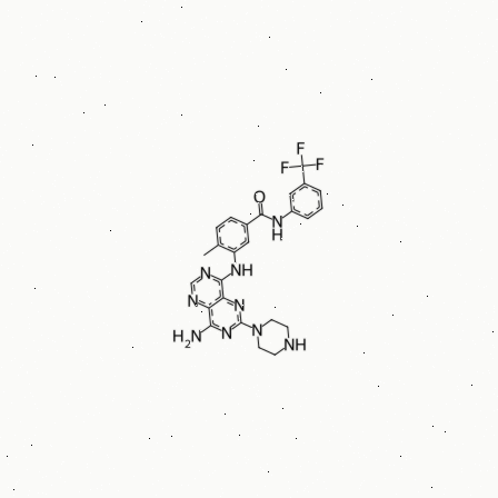 Cc1ccc(C(=O)Nc2cccc(C(F)(F)F)c2)cc1Nc1ncnc2c(N)nc(N3CCNCC3)nc12